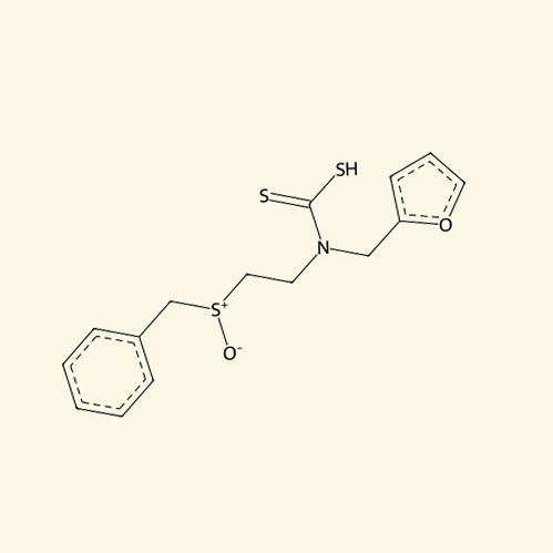 [O-][S+](CCN(Cc1ccco1)C(=S)S)Cc1ccccc1